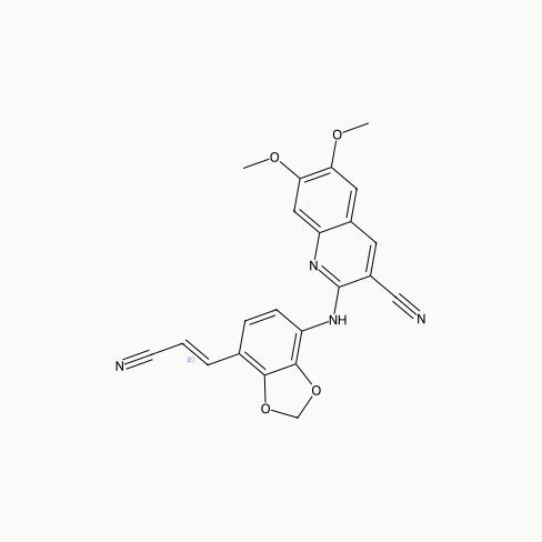 COc1cc2cc(C#N)c(Nc3ccc(/C=C/C#N)c4c3OCO4)nc2cc1OC